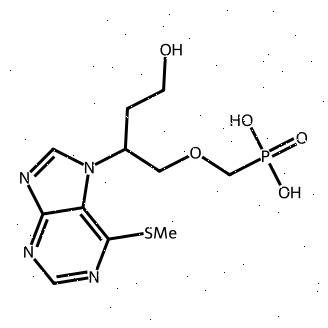 CSc1ncnc2ncn(C(CCO)COCP(=O)(O)O)c12